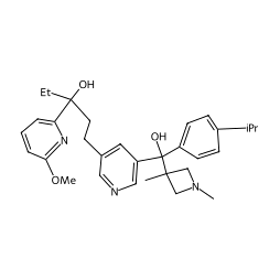 CCC(O)(CCc1cncc(C(O)(c2ccc(C(C)C)cc2)C2(C)CN(C)C2)c1)c1cccc(OC)n1